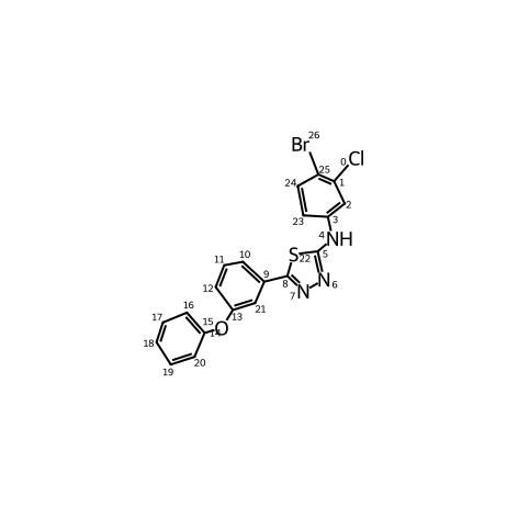 Clc1cc(Nc2nnc(-c3cccc(Oc4ccccc4)c3)s2)ccc1Br